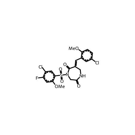 COc1ccc(Cl)cc1C=C1CNC(=O)CN(S(=O)(=O)c2cc(Cl)c(F)cc2OC)C1=O